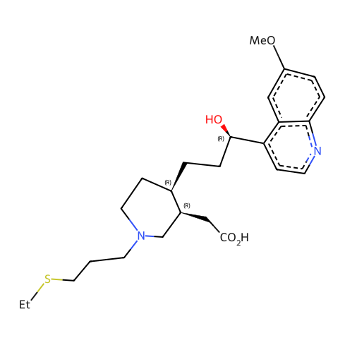 CCSCCCN1CC[C@@H](CC[C@@H](O)c2ccnc3ccc(OC)cc23)[C@@H](CC(=O)O)C1